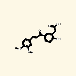 COc1ccc(/C=C/C(=O)c2ccc(O)c(CC(=O)O)c2)cc1OC